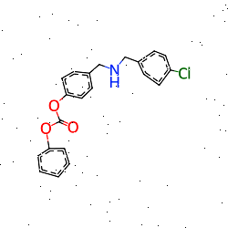 O=C(Oc1ccccc1)Oc1ccc(CNCc2ccc(Cl)cc2)cc1